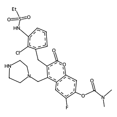 CCS(=O)(=O)Nc1cccc(Cc2c(CN3CCNCC3)c3cc(F)c(OC(=O)N(C)C)cc3oc2=O)c1Cl